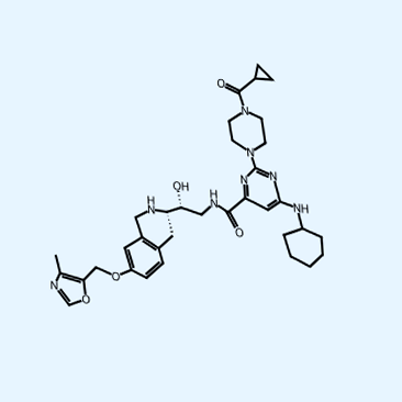 Cc1ncoc1COc1ccc2c(c1)CN[C@H]([C@H](O)CNC(=O)c1cc(NC3CCCCC3)nc(N3CCN(C(=O)C4CC4)CC3)n1)C2